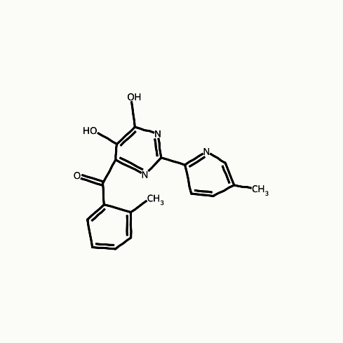 Cc1ccc(-c2nc(O)c(O)c(C(=O)c3ccccc3C)n2)nc1